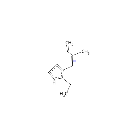 C=C/C(C)=C\c1cc[nH]c1CC